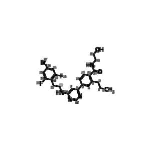 CCCc1cc(-c2cc(NCCc3c(F)cc(Br)cc3F)ncn2)ccc1C(=O)NCCO